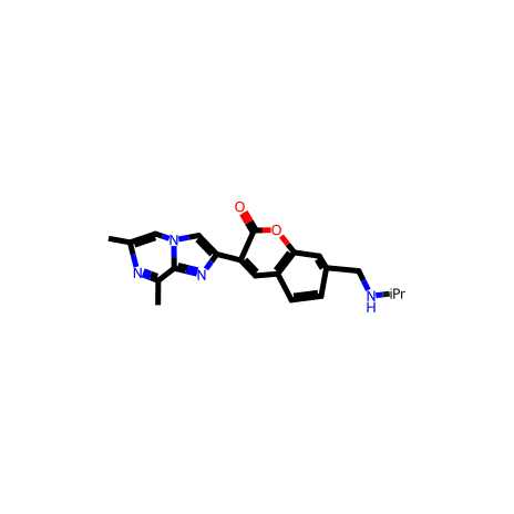 Cc1cn2cc(-c3cc4ccc(CNC(C)C)cc4oc3=O)nc2c(C)n1